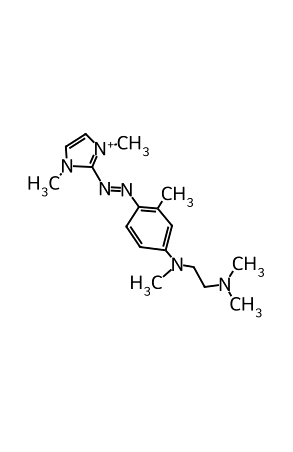 Cc1cc(N(C)CCN(C)C)ccc1/N=N/c1n(C)cc[n+]1C